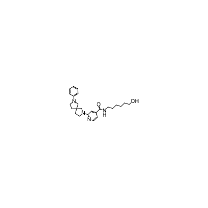 O=C(NCCCCCCO)c1ccnc(N2CCC3(CCN(c4ccccc4)C3)C2)c1